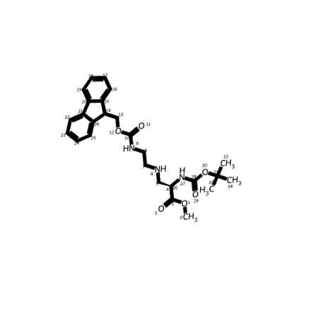 COC(=O)[C@@H](CNCCNC(=O)OCC1c2ccccc2-c2ccccc21)NC(=O)OC(C)(C)C